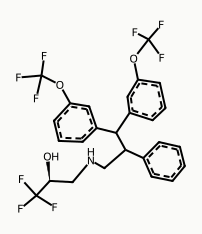 O[C@@H](CNCC(c1ccccc1)C(c1cccc(OC(F)(F)F)c1)c1cccc(OC(F)(F)F)c1)C(F)(F)F